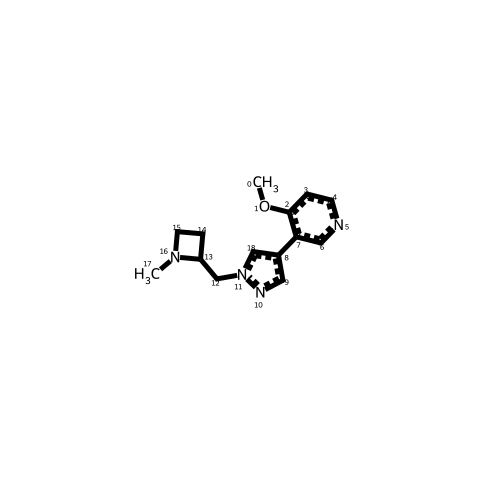 COc1ccncc1-c1cnn(CC2CCN2C)c1